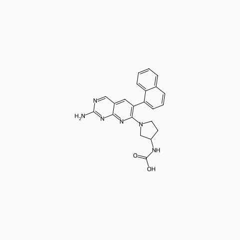 Nc1ncc2cc(-c3cccc4ccccc34)c(N3CCC(NC(=O)O)C3)nc2n1